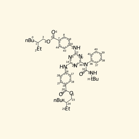 CCCCC(CC)COC(=O)c1ccc(Nc2nc(Nc3ccc(C(=O)OCC(CC)CCCC)cc3)nc(N(C(=O)NC(C)(C)C)c3ccccc3)n2)cc1